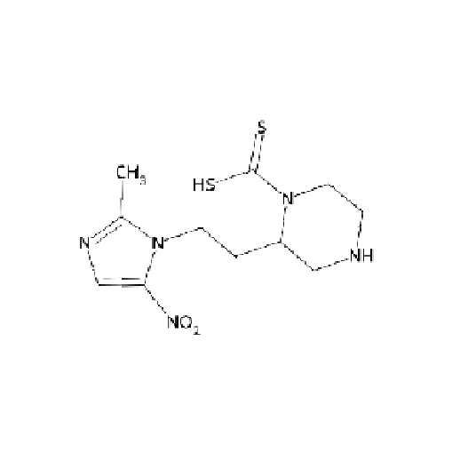 Cc1ncc([N+](=O)[O-])n1CCC1CNCCN1C(=S)S